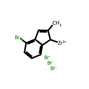 CC1=Cc2c(Br)cccc2[CH]1[Zr+3].[Br-].[Br-].[Br-]